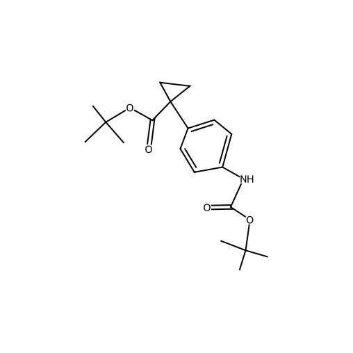 CC(C)(C)OC(=O)Nc1ccc(C2(C(=O)OC(C)(C)C)CC2)cc1